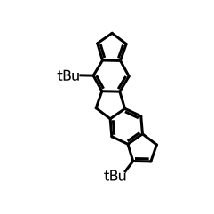 CC(C)(C)C1=CCc2cc3c(cc21)Cc1c-3cc2c(c1C(C)(C)C)=CCC=2